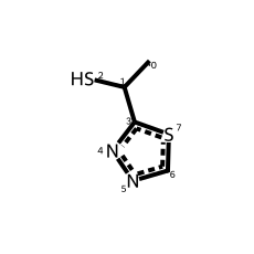 [CH2]C(S)c1nncs1